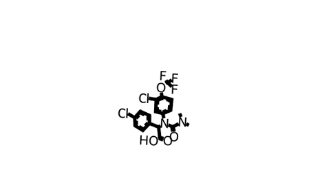 CN(C)C(=O)N(c1ccc(OC(F)(F)F)c(Cl)c1)C(C(=O)O)c1ccc(Cl)cc1